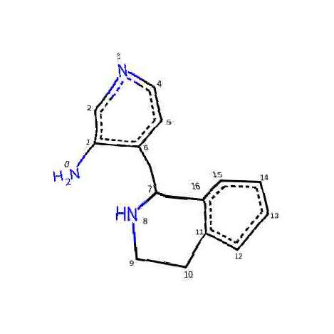 Nc1cnccc1C1NCCc2ccccc21